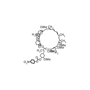 CO[C@H]1C[C@@H]2CC[C@@H](C)[C@@](O)(O2)C(=O)C(=O)N2CCCC[C@H]2C(=O)O[C@H]([C@H](C)C[C@@H]2CC[C@@H](OC(=O)Oc3ccc([N+](=O)[O-])cc3)[C@H](OC)C2)C[C@@H](OC)[C@H](C)/C=C(\C)[C@@H](OC)[C@@H](OC)C(=O)[C@H](C)C[C@H](C)/C=C/C=C/C=C/1C